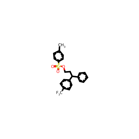 Cc1ccc(S(=O)(=O)OCCC(c2ccccc2)c2ccc(C(F)(F)F)cc2)cc1